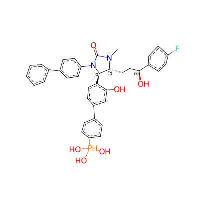 CN1C(=O)N(c2ccc(-c3ccccc3)cc2)[C@H](c2ccc(-c3ccc([PH](O)(O)O)cc3)cc2O)[C@H]1CC[C@H](O)c1ccc(F)cc1